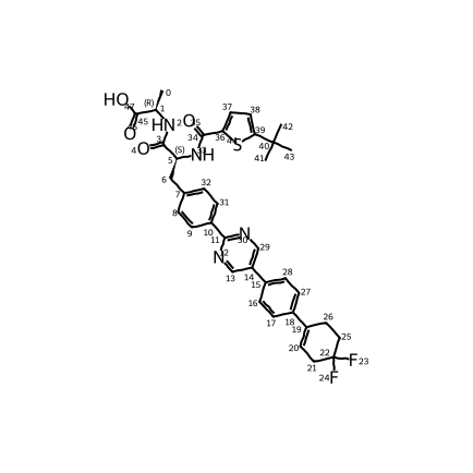 C[C@@H](NC(=O)[C@H](Cc1ccc(-c2ncc(-c3ccc(C4=CCC(F)(F)CC4)cc3)cn2)cc1)NC(=O)c1ccc(C(C)(C)C)s1)C(=O)O